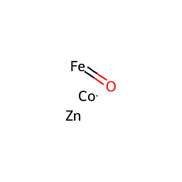 [Co].[O]=[Fe].[Zn]